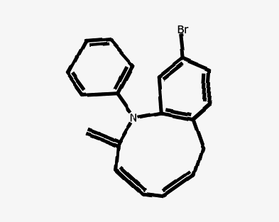 C=C1/C=C\C=C/Cc2ccc(Br)cc2N1c1ccccc1